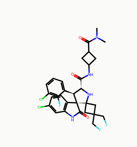 CN(C)C(=O)C1CC(NC(=O)[C@@H]2NC3(CC(CF)(CF)C3)[C@@]3(C(=O)Nc4cc(Cl)ccc43)[C@H]2c2cccc(Cl)c2F)C1